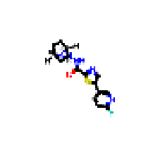 O=C(N[C@@H]1C[C@H]2CC[C@@H]1N2)c1ncc(-c2ccc(F)nc2)s1